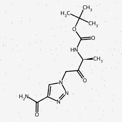 C[C@H](NC(=O)OC(C)(C)C)C(=O)Cn1cc(C(N)=O)nn1